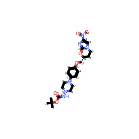 CC(C)(C)OC(=O)NN1CCN(c2ccc(OC[C@H]3CCn4cc([N+](=O)[O-])nc4O3)cc2)CC1